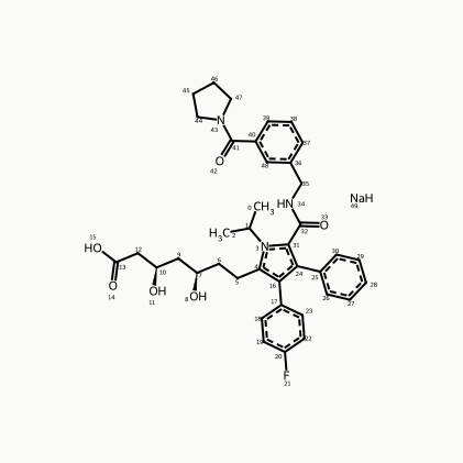 CC(C)n1c(CC[C@@H](O)C[C@@H](O)CC(=O)O)c(-c2ccc(F)cc2)c(-c2ccccc2)c1C(=O)NCc1cccc(C(=O)N2CCCC2)c1.[NaH]